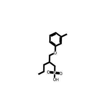 CCCC(COc1cccc(C)c1)CS(=O)(=O)O